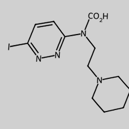 O=C(O)N(CCN1CCCCC1)c1ccc(I)nn1